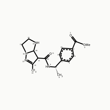 COC(=O)c1ccc([C@H](C)NC(=O)C2C(C(F)(F)F)=NN3CCNC23)cc1